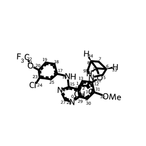 C=CC(=O)N1C[C@H]2C[C@@H](C1)[C@H]2Oc1cc2c(Nc3ccc(OC(F)(F)F)c(Cl)c3)ncnc2cc1OC